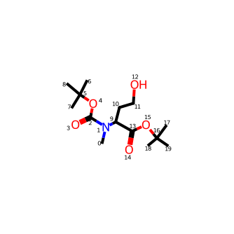 CN(C(=O)OC(C)(C)C)C(CCO)C(=O)OC(C)(C)C